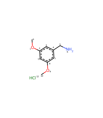 COc1cc(CN)cc(OC)c1.Cl